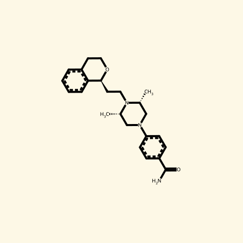 C[C@@H]1CN(c2ccc(C(N)=O)cc2)C[C@H](C)N1CC[C@@H]1OCCc2ccccc21